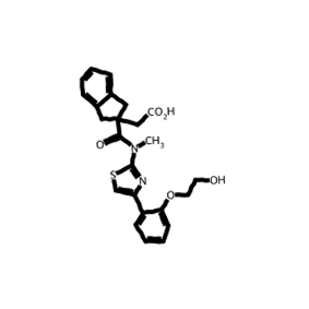 CN(C(=O)C1(CC(=O)O)Cc2ccccc2C1)c1nc(-c2ccccc2OCCO)cs1